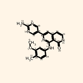 COc1cc(Nc2nc(-c3cnc(N)nc3)cc3c2C(=O)[N]C=C3)ccc1C